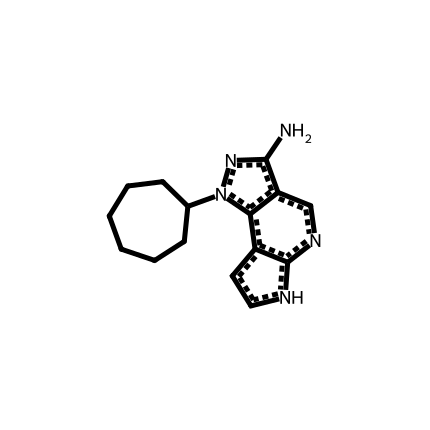 Nc1nn(C2CCCCCC2)c2c1cnc1[nH]ccc12